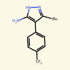 CC(C)(C)c1n[nH]c(N)c1-c1ccc(C(F)(F)F)cc1